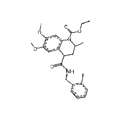 CCOC(=O)N1c2cc(OC)c(OC)cc2C(C(=O)NCc2ccccc2F)CC1C